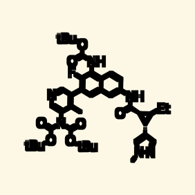 CCC1[C@H](C(=O)Nc2ccc3c(NC(=O)OC(C)(C)C)c(F)c(-c4cncc(N(C(=O)OC(C)(C)C)C(=O)OC(C)(C)C)c4C)cc3c2)[C@H]1c1cnn(C)c1